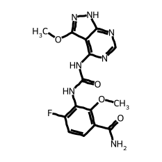 COc1c(C(N)=O)ccc(F)c1NC(=O)Nc1ncnc2[nH]nc(OC)c12